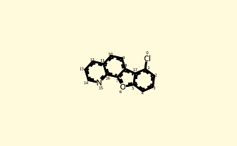 Clc1cccc2oc3c(ccc4cccnc43)c12